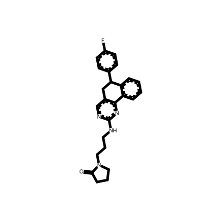 O=C1CCCN1CCCNc1ncc2c(n1)-c1ccccc1C(c1ccc(F)cc1)C2